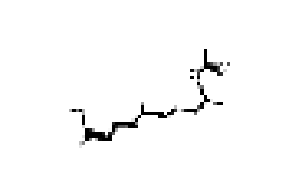 CCC(C)=CCC/C(C)=C/CCC(C)OC(C)=O